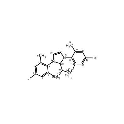 Cc1cc(I)cc(C)c1N1C=CN(c2c(C)cc(I)cc2C)C1C(C)C